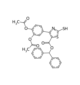 CC(=O)Oc1ccc(-c2nc(S)sc2C(=O)OC(c2ccccc2)c2ccccc2)cc1OC(C)=O